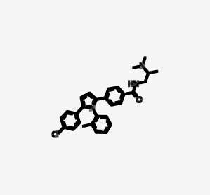 Cc1ccccc1-n1c(-c2ccc(Cl)cc2)ccc1-c1ccc(C(=O)NCC(C)N(C)C)cc1